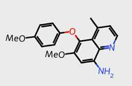 COc1ccc(Oc2c(OC)cc(N)c3nccc(C)c23)cc1